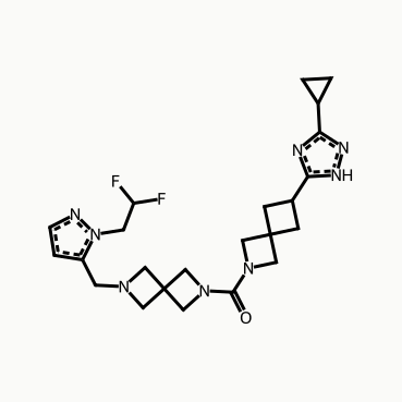 O=C(N1CC2(CC(c3nc(C4CC4)n[nH]3)C2)C1)N1CC2(CN(Cc3ccnn3CC(F)F)C2)C1